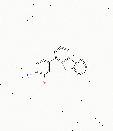 Nc1ccc(-c2cccc3c2Cc2ccccc2-3)cc1Br